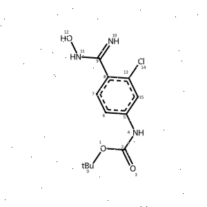 CC(C)(C)OC(=O)Nc1ccc(C(=N)NO)c(Cl)c1